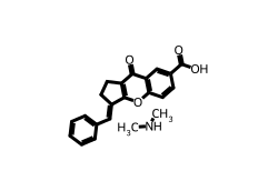 CNC.O=C(O)c1ccc2oc3c(c(=O)c2c1)CCC3=Cc1ccccc1